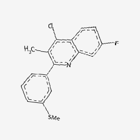 CSc1cccc(-c2nc3cc(F)ccc3c(Cl)c2C)c1